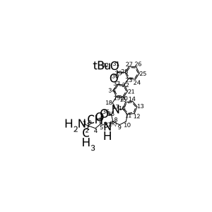 CC(C)(N)CC(=O)N[C@@H]1CCc2ccccc2N(Cc2ccc(-c3ccccc3C(=O)OC(C)(C)C)cc2)C1=O